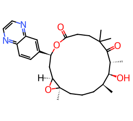 C[C@H]1CCC[C@@]2(C)O[C@H]2C[C@@H](c2ccc3nccnc3c2)OC(=O)CCC(C)(C)C(=O)[C@H](C)[C@H]1O